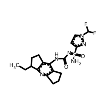 CCC1CCc2c1nc1c(c2NC(=O)N=[S@@](N)(=O)c2ccn(C(F)F)n2)CCC1